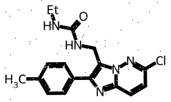 CCNC(=O)NCc1c(-c2ccc(C)cc2)nc2ccc(Cl)nn12